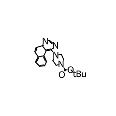 CC(C)(C)OC(=O)N1CCN(c2ncnc3ccc4ccccc4c23)CC1